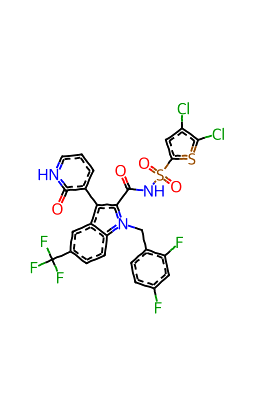 O=C(NS(=O)(=O)c1cc(Cl)c(Cl)s1)c1c(-c2ccc[nH]c2=O)c2cc(C(F)(F)F)ccc2n1Cc1ccc(F)cc1F